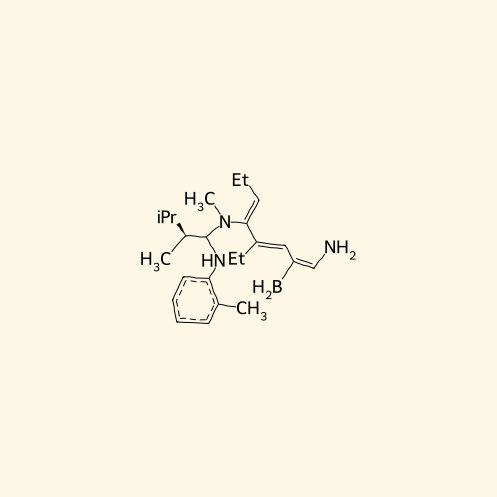 BC(=C/N)/C=C(CC)/C(=C/CC)N(C)C(Nc1ccccc1C)[C@@H](C)C(C)C